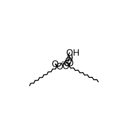 CCCCCCCCCCCCCC(=O)OC[C@H](CON(C)CO)OC(=O)CCCCCCCCCCCCC